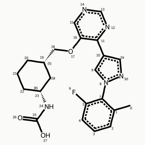 Cc1cccc(F)c1-n1cc(-c2ncncc2OC[C@H]2CCC[C@@H](NC(=O)O)C2)cn1